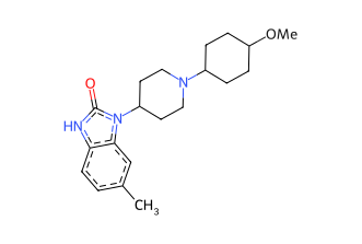 COC1CCC(N2CCC(n3c(=O)[nH]c4ccc(C)cc43)CC2)CC1